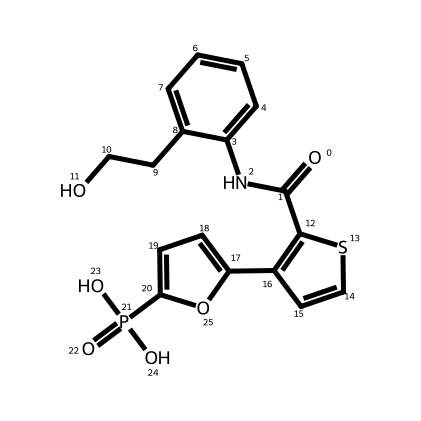 O=C(Nc1ccccc1CCO)c1sccc1-c1ccc(P(=O)(O)O)o1